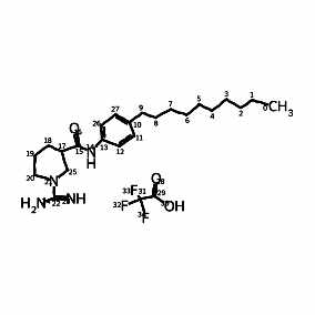 CCCCCCCCCCc1ccc(NC(=O)C2CCCN(C(=N)N)C2)cc1.O=C(O)C(F)(F)F